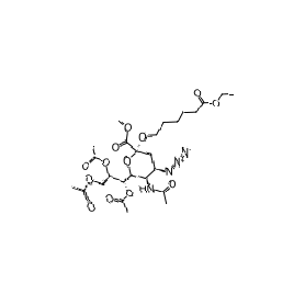 CCOC(=O)CCCCCO[C@]1(C(=O)OC)C[C@@H](N=[N+]=[N-])[C@@H](NC(C)=O)C([C@H](OC(C)=O)[C@@H](COC(C)=O)OC(C)=O)O1